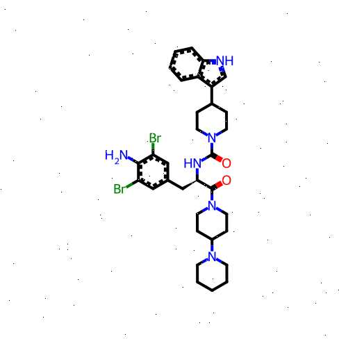 Nc1c(Br)cc(C[C@@H](NC(=O)N2CCC(c3c[nH]c4ccccc34)CC2)C(=O)N2CCC(N3CCCCC3)CC2)cc1Br